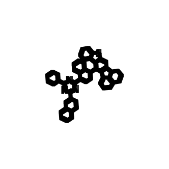 C1=Cc2cccc3c2C(C1)c1cc2sc4ccccc4c2c(-c2ccc(-c4nc(-c5ccccc5)nc(-c5ccc6ccccc6c5)n4)c4ccccc24)c1-3